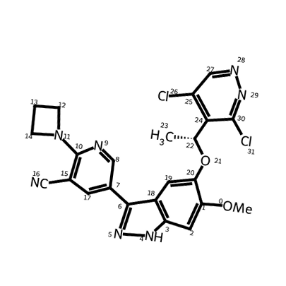 COc1cc2[nH]nc(-c3cnc(N4CCC4)c(C#N)c3)c2cc1O[C@H](C)c1c(Cl)cnnc1Cl